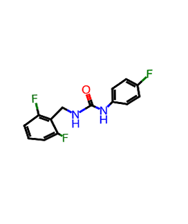 O=C(NCc1c(F)cccc1F)Nc1ccc(F)cc1